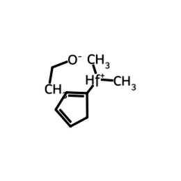 CC[O-].[CH3][Hf+]([CH3])[C]1=CC=CC1